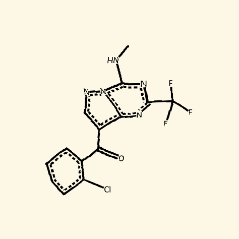 CNc1nc(C(F)(F)F)nc2c(C(=O)c3ccccc3Cl)cnn12